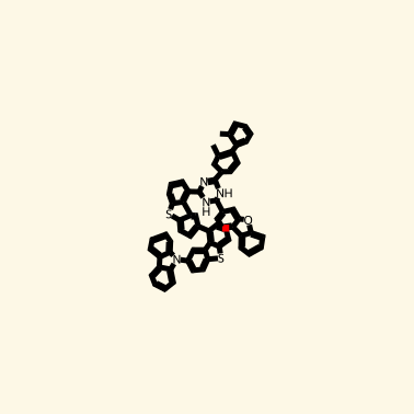 CC1=C(c2ccccc2C)C=CC(C2=NC(c3cccc4sc5ccc(-c6cccc7sc8ccc(-n9c%10ccccc%10c%10ccccc%109)cc8c67)cc5c34)NC(c3ccc4c(c3)oc3ccccc34)N2)C1